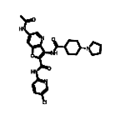 CC(=O)Nc1cnc2c(NC(=O)[C@H]3CC[C@H](N4CCCC4)CC3)c(C(=O)Nc3ccc(Cl)cn3)oc2c1